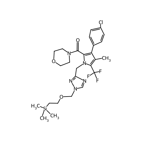 Cc1c(-c2ccc(Cl)cc2)c(C(=O)N2CCOCC2)n(Cc2ncn(COCC[Si](C)(C)C)n2)c1C(F)(F)F